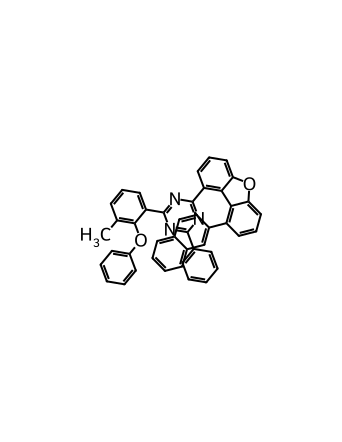 Cc1cccc(-c2nc(-c3ccccc3)nc(-c3cccc4oc5cccc(-c6ccc7ccccc7c6)c5c34)n2)c1Oc1ccccc1